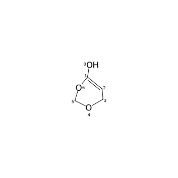 OC1=CCOCO1